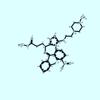 COC(=O)CC[C@@H]1N=C(c2ccccc2F)c2cc([N+](=O)[O-])ccc2-n2c(SCCN3CCN(C)CC3)nnc21